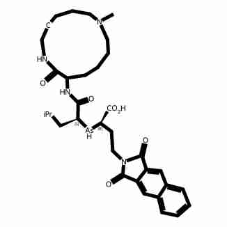 CC(C)C[C@H]([AsH][C@H](CCN1C(=O)c2cc3ccccc3cc2C1=O)C(=O)O)C(=O)NC1CCCCN(C)CCCCCNC1=O